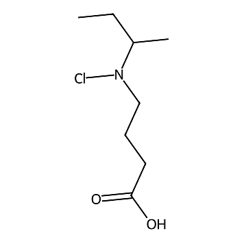 CCC(C)N(Cl)CCCC(=O)O